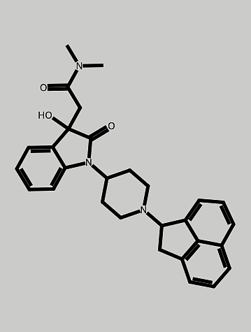 CN(C)C(=O)CC1(O)C(=O)N(C2CCN(C3Cc4cccc5cccc3c45)CC2)c2ccccc21